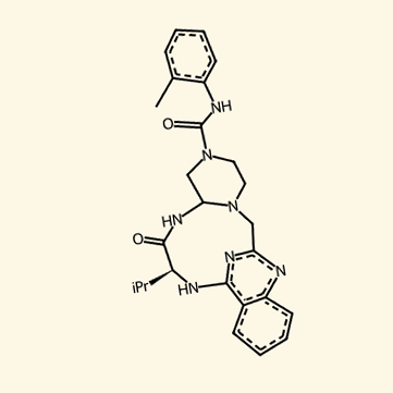 Cc1ccccc1NC(=O)N1CCN2Cc3nc(c4ccccc4n3)N[C@@H](C(C)C)C(=O)NC2C1